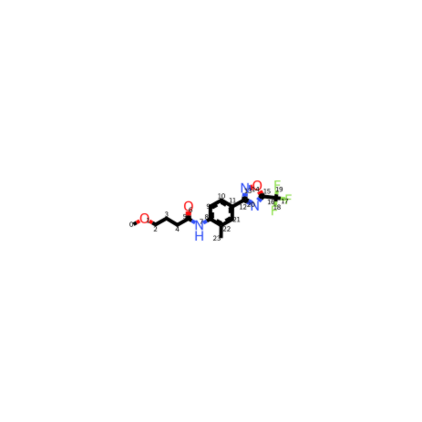 COCCCC(=O)Nc1ccc(-c2noc(C(F)(F)F)n2)cc1C